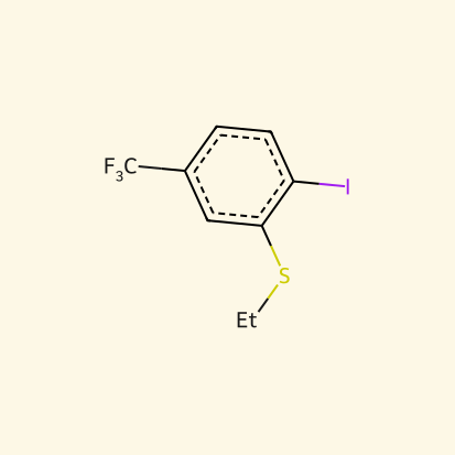 CCSc1cc(C(F)(F)F)ccc1I